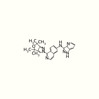 CC1(C)OC(C)(C)c2nn(-c3nccc4cc(Nc5n[nH]c6cccnc56)ccc34)cc21